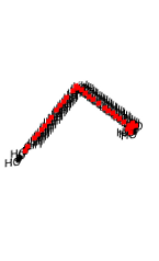 O=BO.O=BO.O=BO.O=BO.O=BO.O=BO.[LiH].[LiH].[LiH].[LiH].[LiH].[LiH].[LiH].[LiH].[LiH].[LiH].[LiH].[LiH].[LiH].[LiH].[LiH].[LiH].[LiH].[LiH].[LiH].[LiH].[LiH].[LiH].[LiH].[LiH].[LiH].[LiH].[LiH].[LiH].[LiH].[LiH].[LiH].[LiH].[LiH].[LiH].[LiH].[LiH].[LiH].[LiH].[LiH].[LiH].[LiH].[LiH].[LiH].[LiH].[LiH].[LiH].[LiH].[LiH].[LiH].[LiH].[LiH].[LiH].[LiH].[LiH].[LiH]